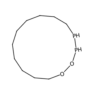 C1CCCCCPPOOCCCC1